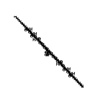 CCCCCCCCCCCCCCCCC(=O)NCCOCCNC(=O)CCOCCNC(=O)CCOCCOCCOCCOCCN(CCOCCOCCOCCOCCC(=O)NCCOCCC(=O)NCCOCCNC(=O)CCCCCCCCCCCCCCCC)C(=O)CC(C)C